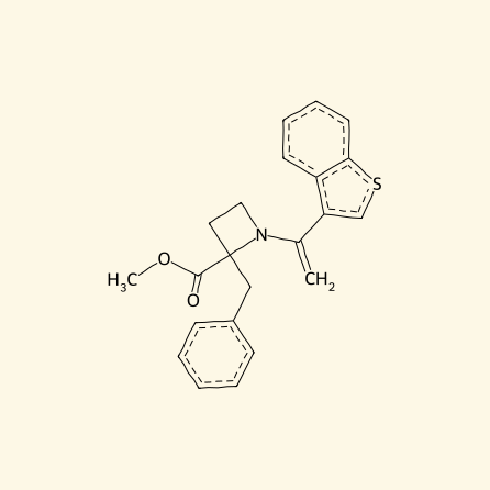 C=C(c1csc2ccccc12)N1CCC1(Cc1ccccc1)C(=O)OC